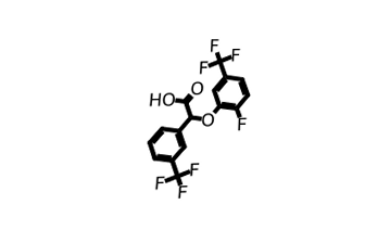 O=C(O)C(Oc1cc(C(F)(F)F)ccc1F)c1cccc(C(F)(F)F)c1